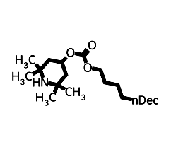 CCCCCCCCCCCCCCOC(=O)OC1CC(C)(C)NC(C)(C)C1